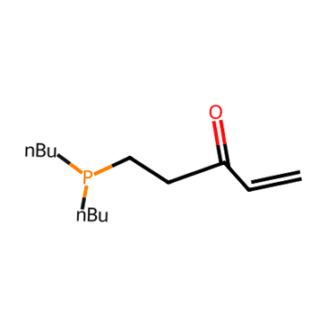 C=CC(=O)CCP(CCCC)CCCC